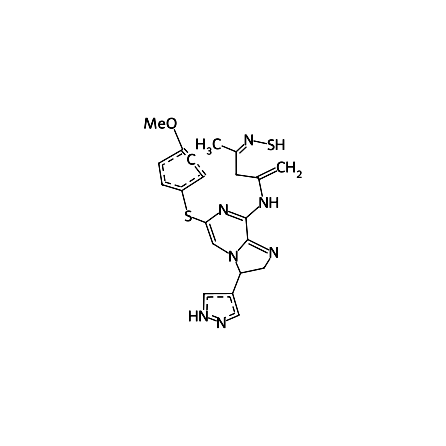 C=C(C/C(C)=N\S)NC1=NC(Sc2ccc(OC)cc2)=CN2C1=NCC2c1cn[nH]c1